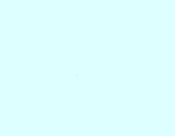 O=C(c1ccccc1)C(F)(C(=O)c1ccccc1)C(=O)C(F)F